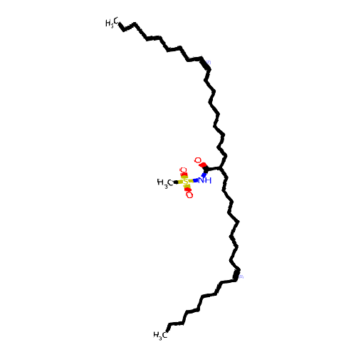 CCCCCCCC/C=C\CCCCCCCCC(CCCCCCCC/C=C\CCCCCCCC)C(=O)NS(C)(=O)=O